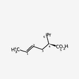 CC=CC[C@H](C(=O)O)C(C)C